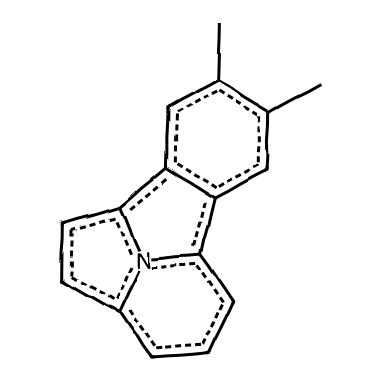 Cc1cc2c(cc1C)c1ccc3cccc2n31